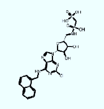 O=P(O)(O)CP(=O)(O)NC[C@H]1O[C@@H](n2cnc3c(NCc4cccc5ccccc45)nc(Cl)nc32)C(O)C1O